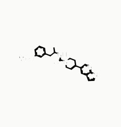 COc1cccc(CC(C)NC(=O)N2CC=C(c3cnc4[nH]ccc4c3)CC2)c1